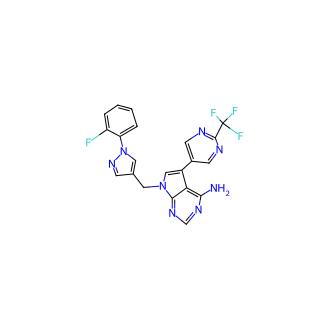 Nc1ncnc2c1c(-c1cnc(C(F)(F)F)nc1)cn2Cc1cnn(-c2ccccc2F)c1